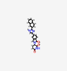 Cn1cc(-c2ccc3c(c2)CN(C2CCC(=O)NC2=O)C3=O)nc1-c1ccc2ccccc2c1